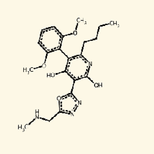 CCCCc1nc(O)c(-c2nnc(CNC)o2)c(O)c1-c1c(OC)cccc1OC